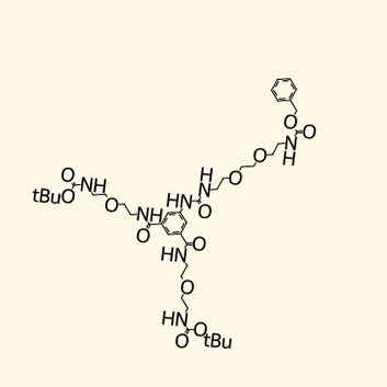 CC(C)(C)OC(=O)NCCOCCNC(=O)c1cc(NC(=O)NCCOCCOCCNC(=O)OCc2ccccc2)cc(C(=O)NCCOCCNC(=O)OC(C)(C)C)c1